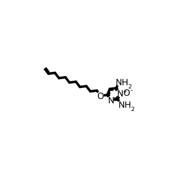 C=CCCCCCCCCCOc1cc(N)[n+]([O-])c(N)n1